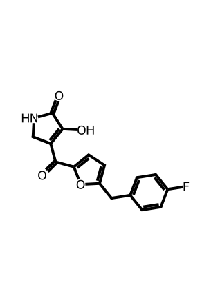 O=C1NCC(C(=O)c2ccc(Cc3ccc(F)cc3)o2)=C1O